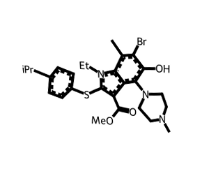 CCn1c(Sc2ccc(C(C)C)cc2)c(C(=O)OC)c2c(N3CCN(C)CC3)c(O)c(Br)c(C)c21